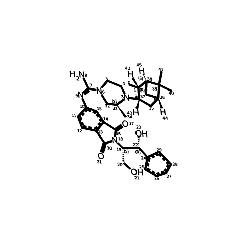 C[C@H]1[C@@H](N2CCN(C(N)=Nc3ccc4c(c3)C(=O)N([C@@H](CO)[C@H](O)c3ccccc3)C4=O)C[C@@H]2C)C[C@@H]2C[C@@H]1C2(C)C